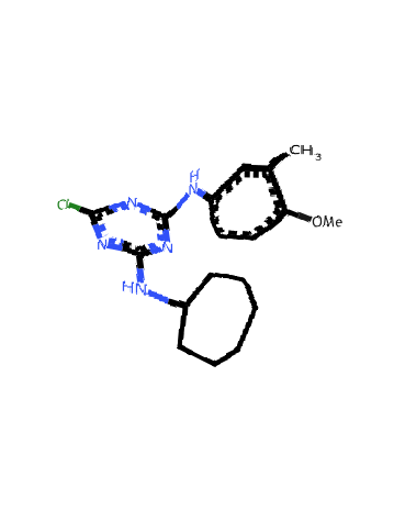 COc1ccc(Nc2nc(Cl)nc(NC3CCCCCC3)n2)cc1C